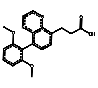 COc1cccc(OC)c1-c1ccc(CCC(=O)O)c2nccnc12